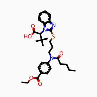 CCCCC(=O)N(CCCSc1nc2ccccc2n1C(C(=O)O)C(C)(C)C)c1ccc(C(=O)OCC)cc1